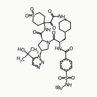 CC(C)(C)NS(=O)(=O)c1ccc(C(=O)N[C@H](CC2CCCCC2)C(=O)N2C[C@@H](n3nncc3C(C)(C)O)C[C@H]2C(=O)NC2(C(=O)C(N)=O)CCS(=O)(=O)CC2)cc1